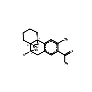 O=C(O)c1cc2c(cc1O)[C@@]13CCCC[C@H]1[C@@H](C2)NCC3